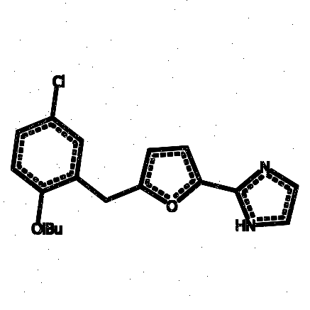 CC(C)COc1ccc(Cl)cc1Cc1ccc(-c2ncc[nH]2)o1